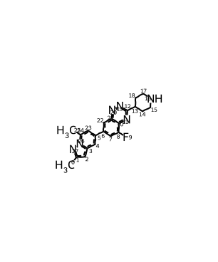 Cc1cc2cc(-c3cc(F)c4nc(C5CCNCC5)nnc4c3)cc(C)n2n1